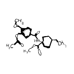 CC[C@H]1CC[C@@](NC(=O)c2ccc(OC)c(OC(C)=O)c2)(C(=O)OC)CC1